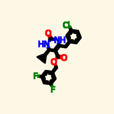 O=C1NC(Cc2cccc(Cl)c2)=C(C(=O)OCc2cc(F)cc(F)c2)C(C2CC2)N1